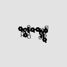 Cc1ccc(N2C(=O)C3Cc4c([nH]c5ccc(-c6ccc(N7C(=O)C8Cc9c([nH]c%10ccccc9%10)C(c9cccc(Cl)c9)N8C7=S)cc6C)cc45)C(c4cccc(Cl)c4)N3C2=S)cc1